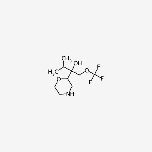 CC(C)C(O)(COC(F)(F)F)C1CNCCO1